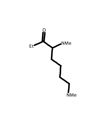 CCC(=O)C(CCCCNC)NC